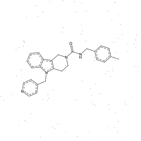 Cc1ccc(CNC(=O)N2CCc3c(c4ccccc4n3Cc3ccncc3)C2)cc1